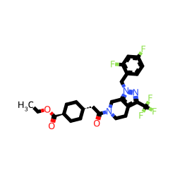 CCOC(=O)[C@H]1CC[C@H](CC(=O)N2CCc3c(C(F)(F)F)nn(Cc4ccc(F)cc4F)c3C2)CC1